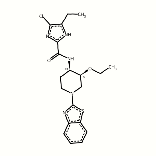 CCO[C@H]1CN(c2nc3ccccc3s2)CC[C@H]1NC(=O)c1nc(Cl)c(CC)[nH]1